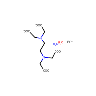 O.O=C([O-])CN(CCN(CC(=O)[O-])CC(=O)[O-])CC(=O)[O-].[Fe+3].[NH4+]